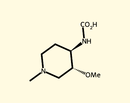 CO[C@@H]1CN(C)CC[C@H]1NC(=O)O